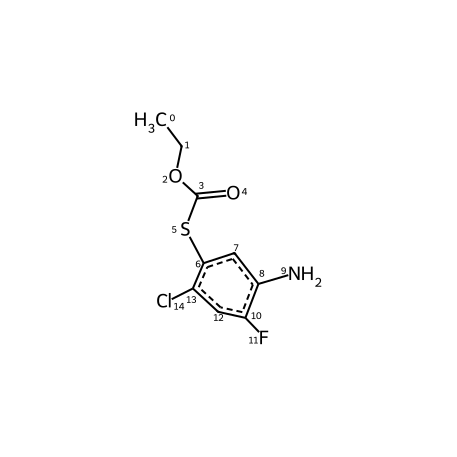 CCOC(=O)Sc1cc(N)c(F)cc1Cl